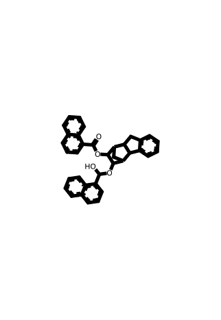 O=C(OC1C2CC(C1OC(O)c1cccc3ccccc13)C1c3ccccc3CC21)c1cccc2ccccc12